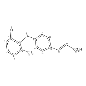 Cc1occc(=O)c1Oc1ccc(/C=C/C(=O)O)cc1